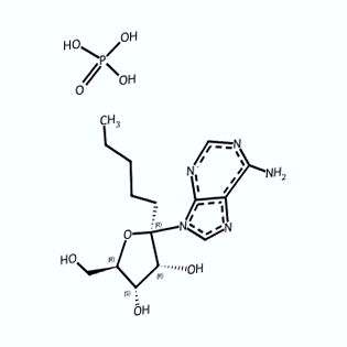 CCCCC[C@@]1(n2cnc3c(N)ncnc32)O[C@H](CO)[C@@H](O)[C@H]1O.O=P(O)(O)O